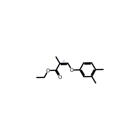 CCOC(=O)/C(C)=C\Oc1ccc(C)c(C)c1